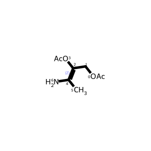 CC(=O)OC/C(OC(C)=O)=C(\C)N